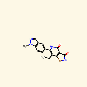 CCc1c(-c2ccc3c(cnn3C)c2)[nH]c(=O)c2c(=O)[nH]sc12